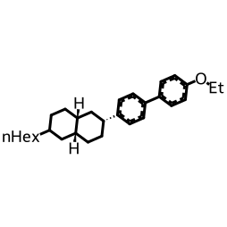 CCCCCCC1CC[C@@H]2C[C@H](c3ccc(-c4ccc(OCC)cc4)cc3)CC[C@@H]2C1